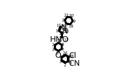 N#Cc1ccc(O[C@H]2CC[C@H](NC(=O)c3ccn(C4CCCCC4)n3)CC2)cc1Cl